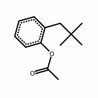 CC(=O)Oc1ccccc1CC(C)(C)C